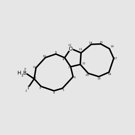 BC1(I)CCCCC2C(CCC1)OC1CCCCCCCC12